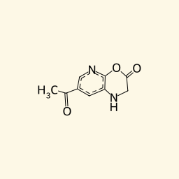 CC(=O)c1cnc2c(c1)NCC(=O)O2